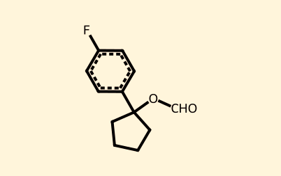 O=COC1(c2ccc(F)cc2)CCCC1